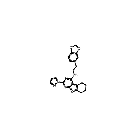 c1cnn(-c2nc(NCCc3ccc4c(c3)OCO4)c3c4c(sc3n2)CCCC4)c1